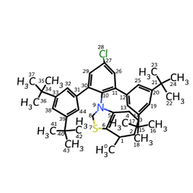 CC1CCCC2=C1SCN2c1c(-c2cc(C(C)(C)C)cc(C(C)(C)C)c2)cc(Cl)cc1-c1cc(C(C)(C)C)cc(C(C)(C)C)c1